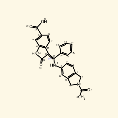 CC(=O)N1Cc2ccc(N/C(=C3\C(=O)Nc4cc(C(=O)O)ccc43)c3ccccc3)cc2C1